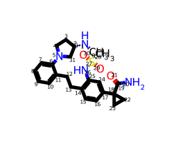 CN[C@H]1CCN(c2ccccc2CCc2ccc(C3(C(N)=O)CC3)cc2NS(C)(=O)=O)C1